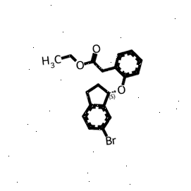 CCOC(=O)Cc1ccccc1O[C@H]1CCc2ccc(Br)cc21